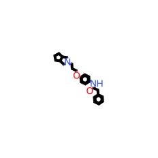 O=C(Cc1ccccc1)Nc1ccc(OCCCN2CC3CCCC3C2)cc1